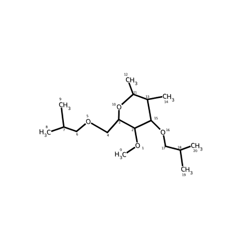 COC1C(COCC(C)C)OC(C)C(C)C1OCC(C)C